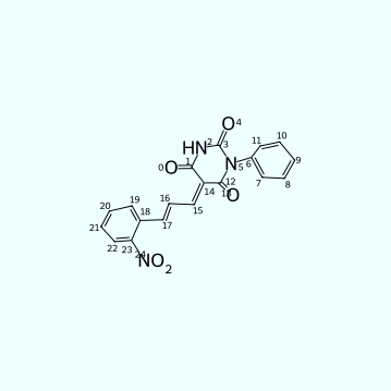 O=C1NC(=O)N(c2ccccc2)C(=O)C1=CC=Cc1ccccc1[N+](=O)[O-]